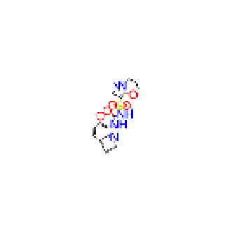 COc1ccc2cccnc2c1NC(=O)NS(=O)(=O)c1cnn2c1OCCC2